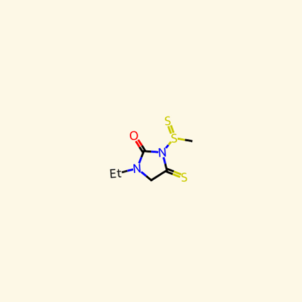 CCN1CC(=S)N(S(C)=S)C1=O